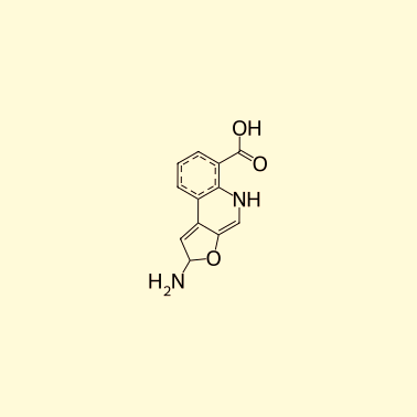 NC1C=C2C(=CNc3c(C(=O)O)cccc32)O1